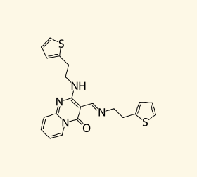 O=c1c(C=NCCc2cccs2)c(NCCc2cccs2)nc2ccccn12